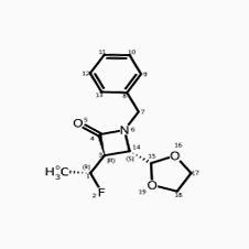 C[C@@H](F)[C@H]1C(=O)N(Cc2ccccc2)[C@@H]1C1OCCO1